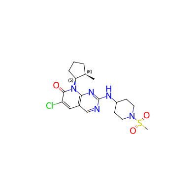 C[C@@H]1CCC[C@@H]1n1c(=O)c(Cl)cc2cnc(NC3CCN(S(C)(=O)=O)CC3)nc21